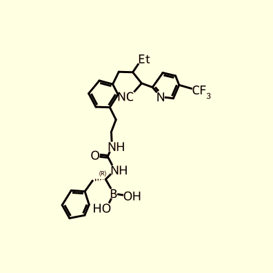 CCC(Cc1cccc(CCNC(=O)N[C@@H](Cc2ccccc2)B(O)O)c1)C(C#N)c1ccc(C(F)(F)F)cn1